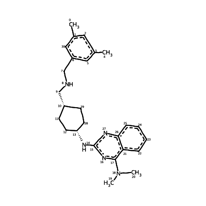 Cc1cc(C)cc(CNC[C@H]2CC[C@@H](Nc3nc(N(C)C)c4ccccc4n3)CC2)c1